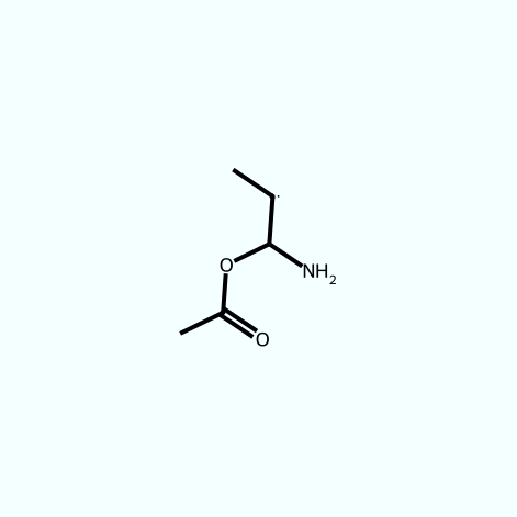 C[CH]C(N)OC(C)=O